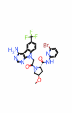 CO[C@@H]1C[C@@H](C(=O)Nc2cccc(Br)n2)N(C(=O)Cn2c3ccc(C(F)(F)F)cc3c3c(N)ncnc32)C1